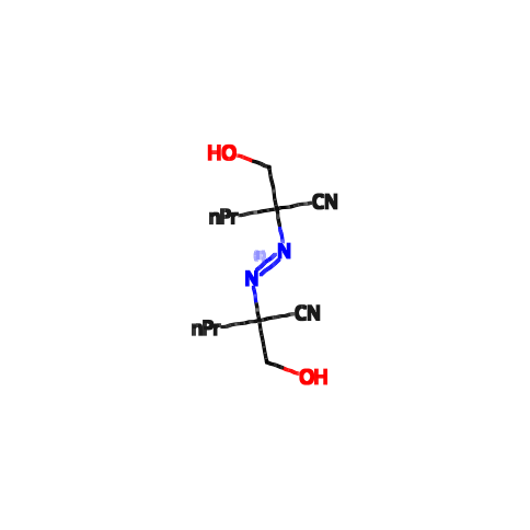 CCCC(C#N)(CO)/N=N/C(C#N)(CO)CCC